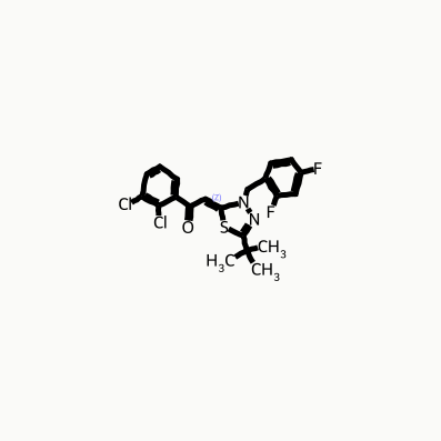 CC(C)(C)C1=NN(Cc2ccc(F)cc2F)/C(=C/C(=O)c2cccc(Cl)c2Cl)S1